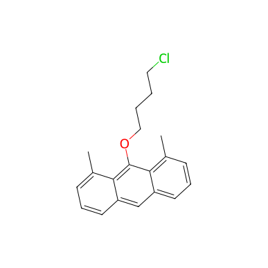 Cc1cccc2cc3cccc(C)c3c(OCCCCCl)c12